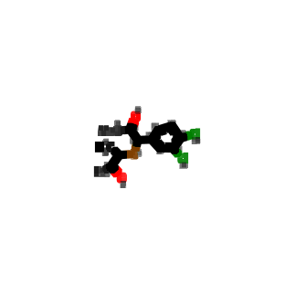 CCC(=O)C(C)SC(C(=O)OC)c1ccc(Cl)c(Cl)c1